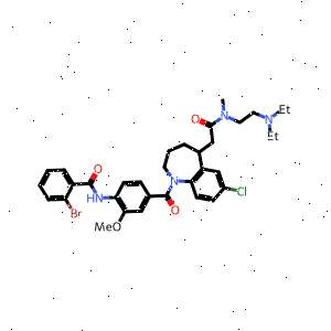 CCN(CC)CCN(C)C(=O)CC1CCCN(C(=O)c2ccc(NC(=O)c3ccccc3Br)c(OC)c2)c2ccc(Cl)cc21